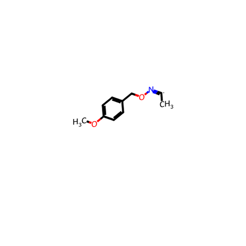 C/[C]=N\OCc1ccc(OC)cc1